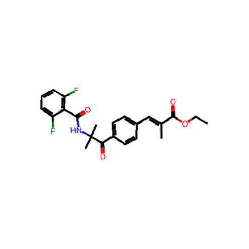 CCOC(=O)/C(C)=C/c1ccc(C(=O)C(C)(C)NC(=O)c2c(F)cccc2F)cc1